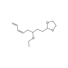 C=C/C=C\CC(CCC1OCCO1)OCC